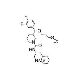 CCOCCCO[C@@H](c1ccc(F)c(F)c1)[C@@H]1CCCN(C(=O)N[C@H](CNC)CC2CCCCC2)C1